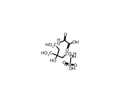 O=C(O)C(=O)O.O=C(O)CC(O)(CC(=O)O)C(=O)O.[O]=[Mo](=[O])([OH])[OH]